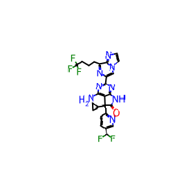 Nc1nc(-c2cn3ccnc3c(CCCC(F)(F)F)n2)nc2c1C(c1ccc(C(F)F)cn1)(C1CC1)C(=O)N2